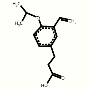 C=Cc1cc(CCC(=O)O)ccc1OC(C)C